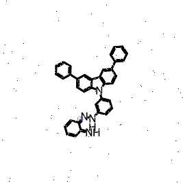 N=C1C=CC=C/C1=N/Nc1cccc(-n2c3ccc(-c4ccccc4)cc3c3cc(-c4ccccc4)ccc32)c1